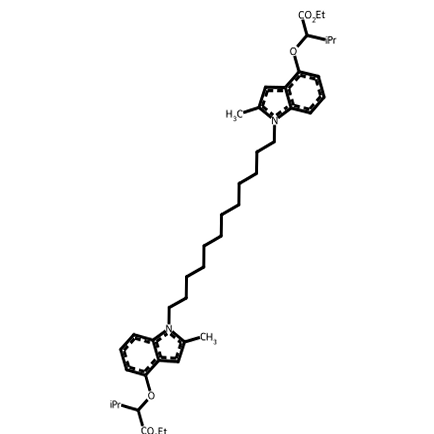 CCOC(=O)C(Oc1cccc2c1cc(C)n2CCCCCCCCCCCCn1c(C)cc2c(OC(C(=O)OCC)C(C)C)cccc21)C(C)C